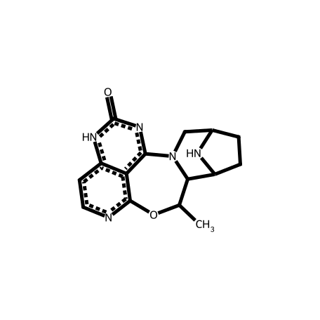 CC1Oc2nccc3[nH]c(=O)nc(c23)N2CC3CCC(N3)C12